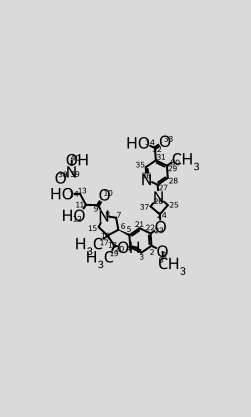 COc1ccc([C@@H]2CN(C(=O)C(O)CO)C[C@@]2(C)C(C)O)cc1OC1CN(c2cc(C)c(C(=O)O)cn2)C1.O=NO